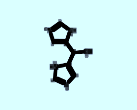 OC(c1cnc[nH]1)c1cnc[nH]1